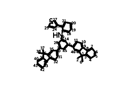 CC1(C)c2ccccc2-c2ccc(-c3cc(Nc4ccccc4-c4ccsc4)cc(-c4ccc5c(c4)C(C)(C)c4ccccc4-5)c3)cc21